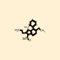 CCCC1=Cc2c(ccc(CC)c2-c2ccccc2C)[CH]1[Zr]([Cl])[Cl]